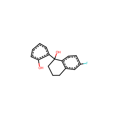 Oc1ccccc1C1(O)CCCc2cc(F)ccc21